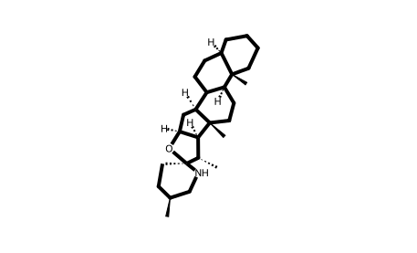 C[C@H]1CC[C@]2(NC1)O[C@H]1C[C@H]3C4CC[C@H]5CCCC[C@]5(C)[C@H]4CC[C@]3(C)[C@H]1[C@@H]2C